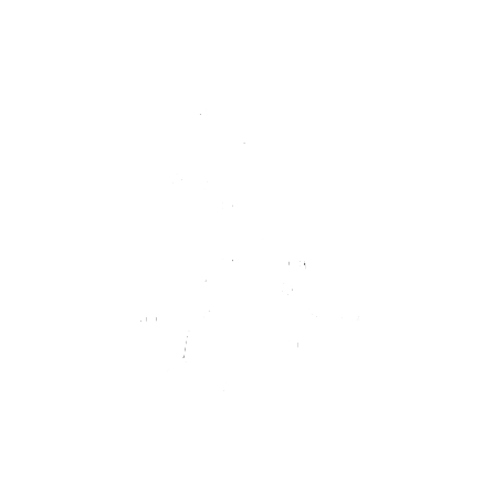 C=C(C)C(=O)OCC(CO)(COC(=O)C(=C)C)COC(=O)C(=C)C